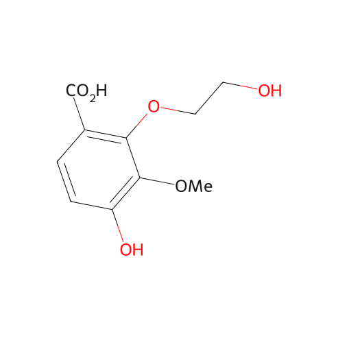 COc1c(O)ccc(C(=O)O)c1OCCO